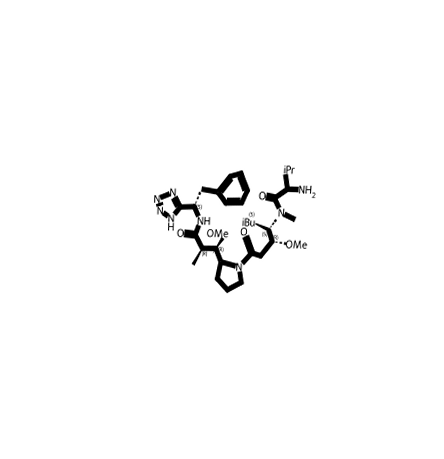 CC[C@H](C)[C@@H]([C@@H](CC(=O)N1CCCC1[C@H](OC)[C@@H](C)C(=O)N[C@@H](Cc1ccccc1)c1nnn[nH]1)OC)N(C)C(=O)C(N)C(C)C